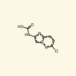 O=C(O)Nc1cn2nc(Cl)ccc2n1